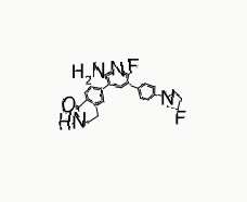 Nc1nc(F)c(-c2ccc(N3CC[C@@H](F)C3)cc2)cc1-c1ccc2c(c1)CCNC2=O